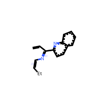 C=C/C(=N\C=C/CC)c1ccc2ccccc2n1